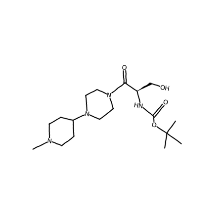 CN1CCC(N2CCN(C(=O)[C@@H](CO)NC(=O)OC(C)(C)C)CC2)CC1